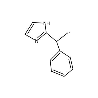 [CH2]C(c1ccccc1)c1ncc[nH]1